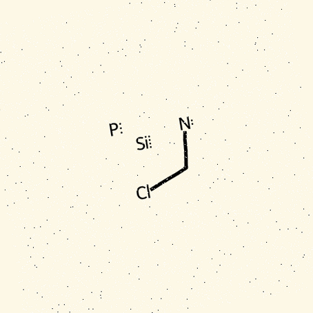 [N]CCl.[P].[Si]